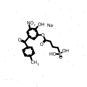 Cc1ccc(C(=O)c2cc(OC(=O)CCCP(=O)(O)O)c(O)c([N+](=O)[O-])c2)cc1.[Na]